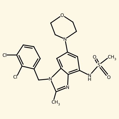 Cc1nc2c(NS(C)(=O)=O)cc(N3CCOCC3)cc2n1Cc1cccc(Cl)c1Cl